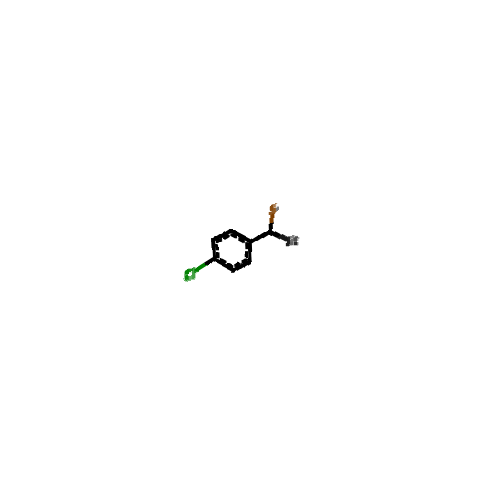 CCC([S])c1ccc(Cl)cc1